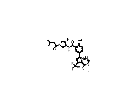 COc1ccc(-c2cc(C(F)(F)F)c3c(N)ncnn23)cc1C(=O)N[C@@H]1CN(C(=O)CC(C)C)C[C@@H]1F